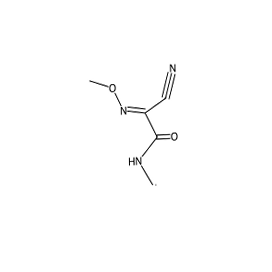 [CH2]NC(=O)C(C#N)=NOC